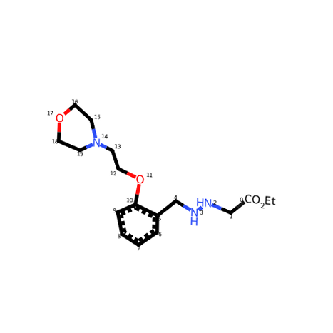 CCOC(=O)CNNCc1ccccc1OCCN1CCOCC1